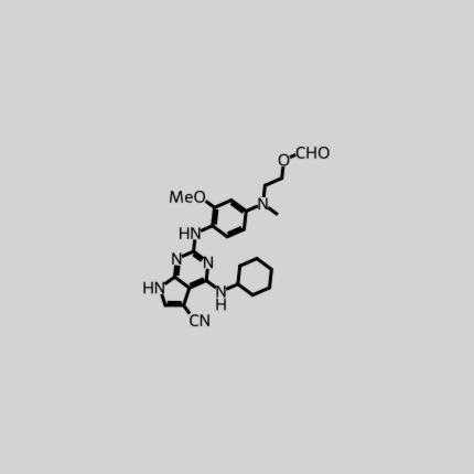 COc1cc(N(C)CCOC=O)ccc1Nc1nc(NC2CCCCC2)c2c(C#N)c[nH]c2n1